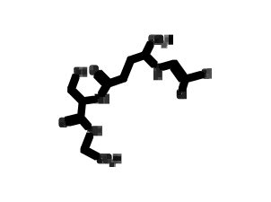 O=C(O)CNC(=O)C(CS)NC(=O)CCC(NC=C(Cl)Cl)C(=O)O